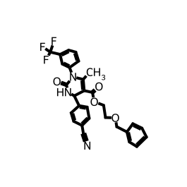 CC1=C(C(=O)OCCOCc2ccccc2)C(c2ccc(C#N)cc2)NC(=O)N1c1cccc(C(F)(F)F)c1